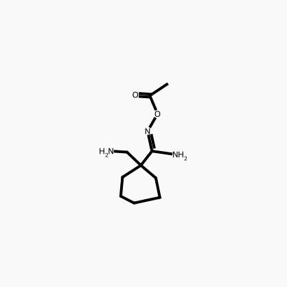 CC(=O)ON=C(N)C1(CN)CCCCC1